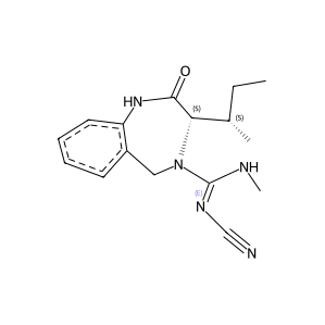 CC[C@H](C)[C@H]1C(=O)Nc2ccccc2CN1/C(=N/C#N)NC